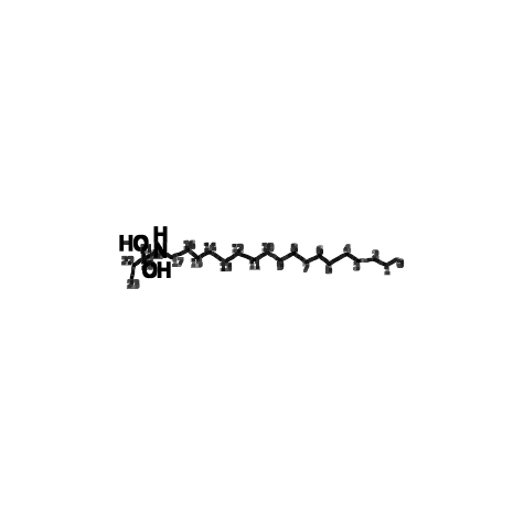 CCCCCCCCCCCCCCCCCCNC(O)(O)CC